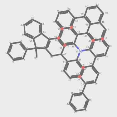 CC1(c2ccccc2)C2=C(C=CC(c3ccccc3N(c3ccccc3-c3ccc(-c4ccccc4)cc3)c3ccccc3-c3cccc4cccc(-c5ccccc5)c34)C2)c2ccccc21